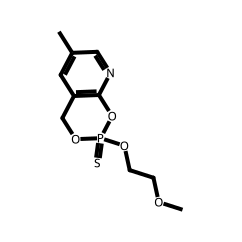 COCCOP1(=S)OCc2cc(C)cnc2O1